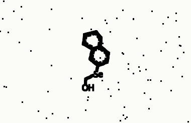 OC[Se]c1ccc2ccccc2c1